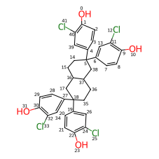 Oc1ccc(C2(c3ccc(O)c(Cl)c3)CCC3CC(c4ccc(O)c(Cl)c4)(c4ccc(O)c(Cl)c4)CCC3C2)cc1Cl